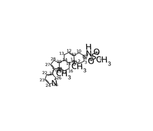 C[C@]12CC[C@@H](NS(C)(=O)=O)CC1=CCC1C2CC[C@]2(C)C(c3cccnc3)=CCC12